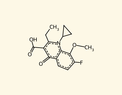 CCc1c(C(=O)O)c(=O)c2ccc(F)c(OC)c2n1C1CC1